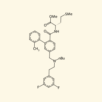 CCCCN(CCc1cc(F)cc(F)c1)Cc1ccc(C(=O)N[C@@H](CCSC)C(=O)OC)c(-c2ccccc2C)c1